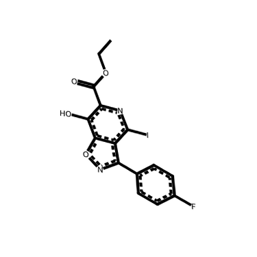 CCOC(=O)c1nc(I)c2c(-c3ccc(F)cc3)noc2c1O